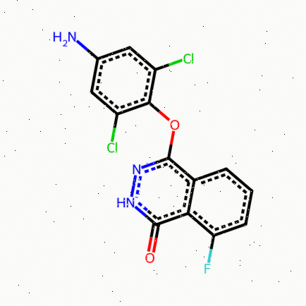 Nc1cc(Cl)c(Oc2n[nH]c(=O)c3c(F)cccc23)c(Cl)c1